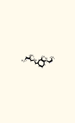 C/C=C\NC1=C(C)CC(CNC/C(N)=C\C)C=CC1